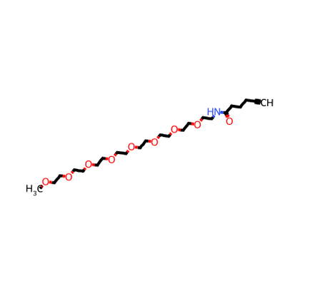 C#CCCCC(=O)NCCOCCOCCOCCOCCOCCOCCOCCOC